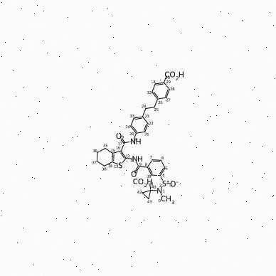 CN([S+]([O-])c1cccc(C(=O)Nc2sc3c(c2C(=O)Nc2ccc(CCc4ccc(C(=O)O)cc4)cc2)CCCC3)c1)C1(C(=O)O)CC1